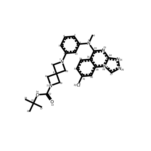 CN(c1cccc(N2CC3(CN(C(=O)OC(C)(C)C)C3)C2)c1)c1nc2nncn2c2cc(Cl)ccc12